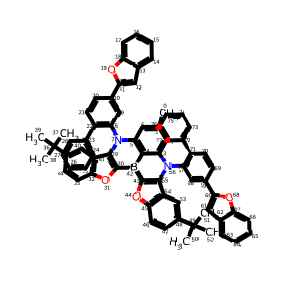 Cc1cc2c3c(c1)N(c1cc(-c4cc5ccccc5o4)ccc1-c1ccccc1)c1c(oc4ccc(C(C)(C)C)cc14)B3c1oc3ccc(C(C)(C)C)cc3c1N2c1cc(-c2cc3ccccc3o2)ccc1-c1ccccc1